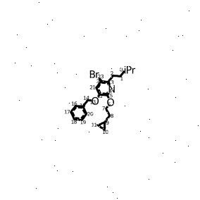 CC(C)CCc1nc(OCCC2CC2)c(OCc2ccccc2)cc1Br